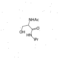 CC(=O)NC(CO)C(=O)NC(C)C